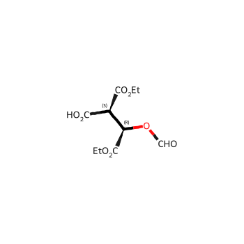 CCOC(=O)[C@H](C(=O)O)[C@@H](OC=O)C(=O)OCC